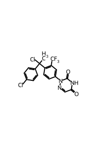 CC(Cl)(c1ccc(Cl)cc1)c1ccc(-n2ncc(=O)[nH]c2=O)cc1C(F)(F)F